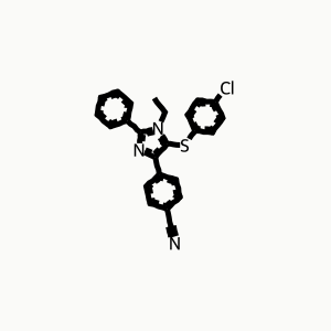 CCn1c(-c2ccccc2)nc(-c2ccc(C#N)cc2)c1Sc1ccc(Cl)cc1